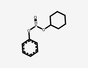 O=[PH](Oc1ccccc1)OC1CCCCC1